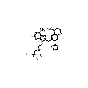 CN1CCOc2cc(-c3ccco3)c(Cc3nc4c(N)nc(F)nc4n3CCNCC(C)(C)C)cc21